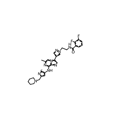 Cc1cn2c(-c3cnn(CCNC(=O)c4cccc(F)c4F)c3)cnc2c(Nc2cc(CN3CCCCC3)ns2)n1